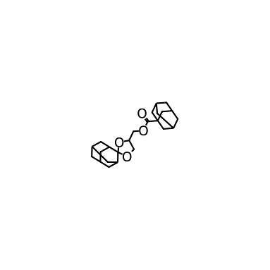 O=C(OCC1COC2(O1)C1CC3CC(C1)CC2C3)C12CC3CC(CC(C3)C1)C2